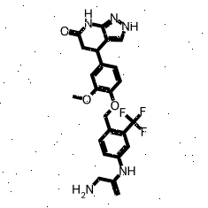 C=C(CN)Nc1ccc(COc2ccc(C3CC(=O)Nc4n[nH]cc43)cc2OC)c(C(F)(F)F)c1